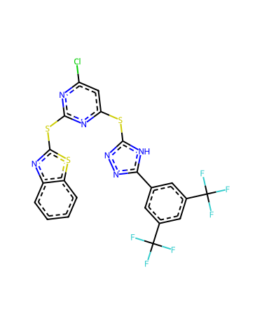 FC(F)(F)c1cc(-c2nnc(Sc3cc(Cl)nc(Sc4nc5ccccc5s4)n3)[nH]2)cc(C(F)(F)F)c1